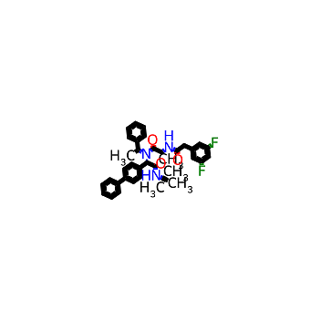 CC(c1ccccc1)N(C(=O)[C@H](C)NC(=O)Cc1cc(F)cc(F)c1)[C@H](C(=O)NC(C)(C)C)c1ccc(-c2ccccc2)cc1